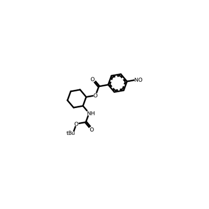 CC(C)(C)OC(=O)NC1CCCCC1OC(=O)c1ccc(N=O)cc1